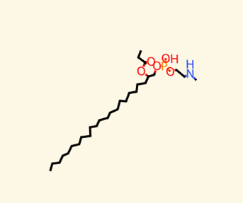 CCCCCCCCCCCCCCCCCCCCCC(COP(O)OCCNC)OC(=O)CC